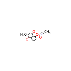 C/C=C/C(=O)Oc1cccc2c1C(=O)C=C(C)C2=O